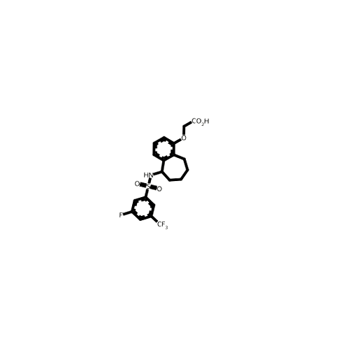 O=C(O)COc1cccc2c1CCCCC2NS(=O)(=O)c1cc(F)cc(C(F)(F)F)c1